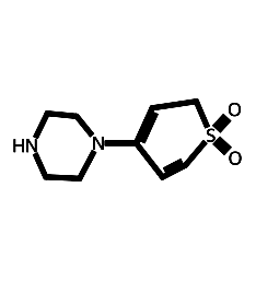 O=S1(=O)C=CC(N2CCNCC2)=CC1